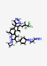 C=C/C(=C\C=C(/C)C(F)(F)F)C(C)(c1cc(C)c2nc(N3CCC3)c(Cc3ccc(N/C=C\C=N)cc3)c(F)c2c1)c1cncn1C